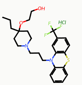 CCCC1(OCCO)CCN(CCCN2c3ccccc3Sc3ccc(C(F)(F)F)cc32)CC1.Cl